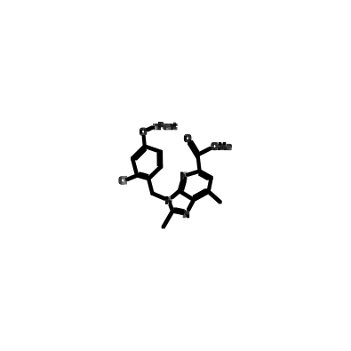 CCCCCOc1ccc(Cn2c(C)nc3c(C)cc(C(=O)OC)nc32)c(Cl)c1